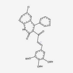 COc1cc(/C=C/C(=O)c2c(-c3ccccc3)c3cc(Cl)ccc3[nH]c2=O)cc(OC)c1OC